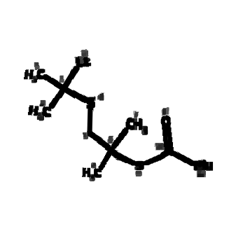 CCC(C)(C)SCC(C)(C)SC(=O)C(C)(C)C